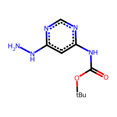 CC(C)(C)OC(=O)Nc1cc(NN)ncn1